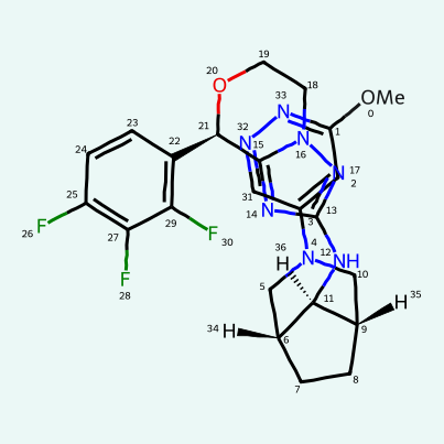 COc1cc(N2C[C@H]3CC[C@@H](C2)[C@@H]3Nc2nc3n(n2)CCO[C@@H]3c2ccc(F)c(F)c2F)cnn1